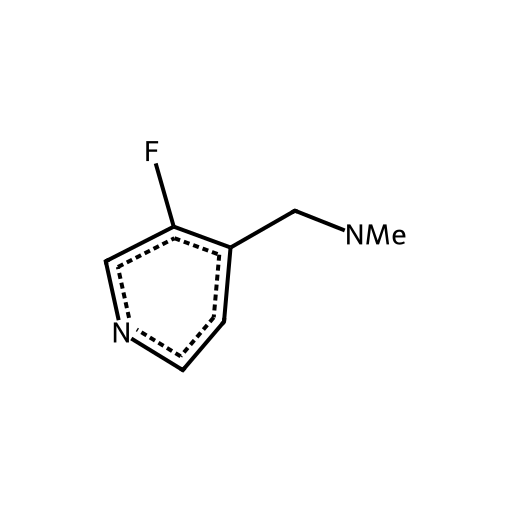 CNCc1ccncc1F